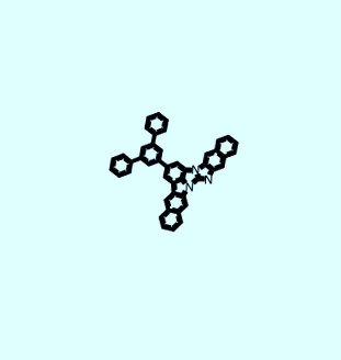 c1ccc(-c2cc(-c3ccccc3)cc(-c3cc4c5cc6ccccc6cc5n5c4c(c3)n3c4cc6ccccc6cc4nc35)c2)cc1